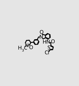 CN1CCCC(c2cccc(CN3Cc4c(NC(=O)c5ccc(Cl)s5)cccc4C3=O)c2)C1=O